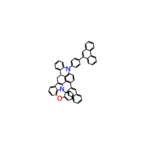 C1=CC(c2ccccc2N(c2ccc(-c3ccc4ccccc4c3)cc2)c2ccc(-c3cc4ccccc4c4ccccc34)cc2)Cc2c1n1c3c(cccc23)Oc2ccccc2-1